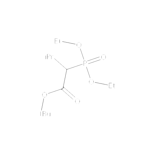 CCOP(=O)(OCC)C(C(=O)OC(C)(C)C)C(C)C